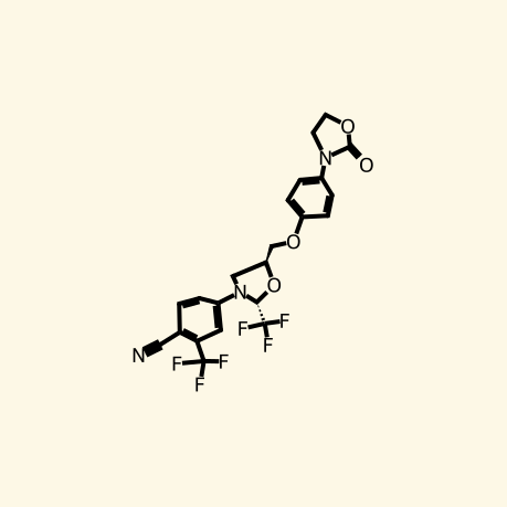 N#Cc1ccc(N2C[C@@H](COc3ccc(N4CCOC4=O)cc3)O[C@@H]2C(F)(F)F)cc1C(F)(F)F